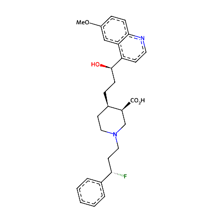 COc1ccc2nccc([C@H](O)CC[C@@H]3CCN(CC[C@H](F)c4ccccc4)C[C@@H]3C(=O)O)c2c1